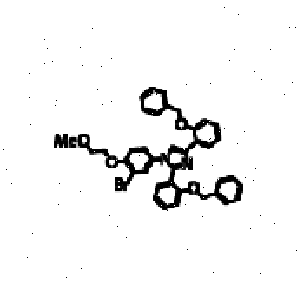 COCCOc1ccc(-n2cc(-c3ccccc3OCc3ccccc3)nc2-c2ccccc2OCc2ccccc2)cc1Br